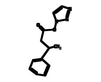 CC(CC(=O)On1ccnn1)c1ccccc1